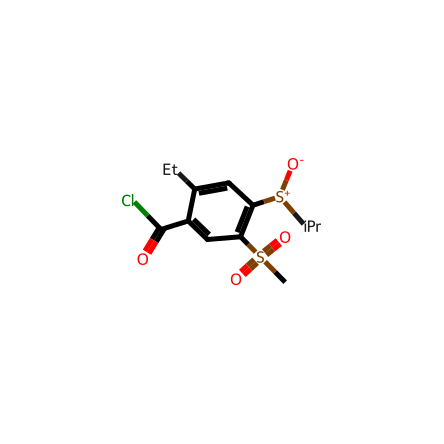 CCc1cc([S+]([O-])C(C)C)c(S(C)(=O)=O)cc1C(=O)Cl